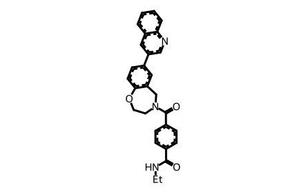 CCNC(=O)c1ccc(C(=O)N2CCOc3ccc(-c4cnc5ccccc5c4)cc3C2)cc1